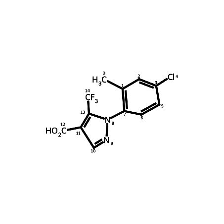 Cc1cc(Cl)ccc1-n1ncc(C(=O)O)c1C(F)(F)F